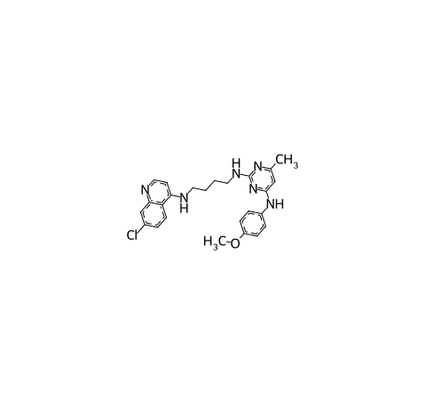 COc1ccc(Nc2cc(C)nc(NCCCCNc3ccnc4cc(Cl)ccc34)n2)cc1